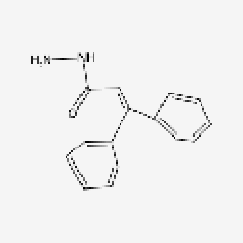 NNC(=O)C=C(c1ccccc1)c1ccccc1